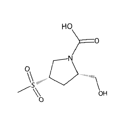 CS(=O)(=O)[C@H]1C[C@@H](CO)N(C(=O)O)C1